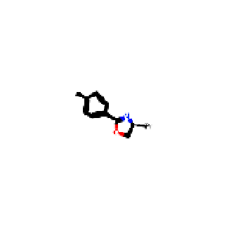 Cc1ccc(C2=N[C@@H](C(C)C)CO2)cc1